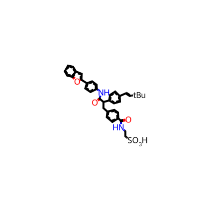 CC(C)(C)/C=C/c1ccc(C(Cc2ccc(C(=O)NCCS(=O)(=O)O)cc2)C(=O)Nc2ccc(-c3cc4ccccc4o3)cc2)cc1